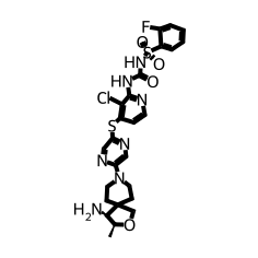 C[C@@H]1OCC2(CCN(c3cnc(Sc4ccnc(NC(=O)NS(=O)(=O)c5ccccc5F)c4Cl)cn3)CC2)[C@@H]1N